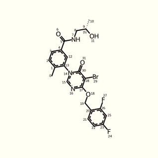 Cc1ccc(C(=O)NC[C@H](C)O)cc1-n1cnc(OCc2ccc(F)cc2F)c(Br)c1=O